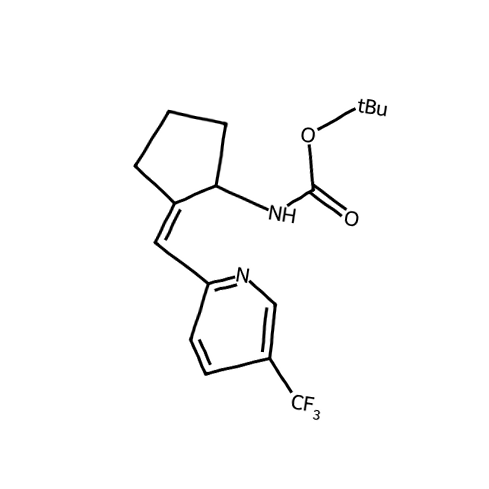 CC(C)(C)OC(=O)NC1CCCC1=Cc1ccc(C(F)(F)F)cn1